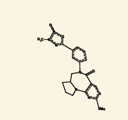 CSc1ncc2c(n1)N1CCCC1CN(c1cccc(-c3nn(C)c(=O)o3)c1)C2=O